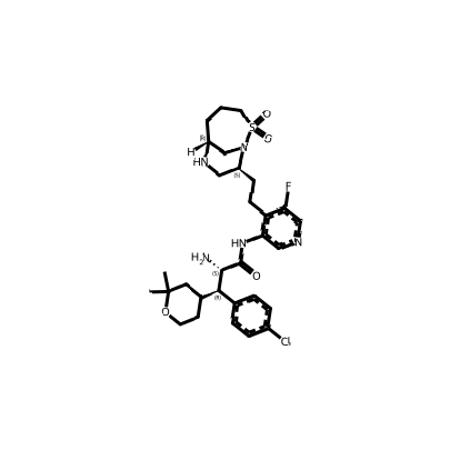 CC1(C)CC([C@H](c2ccc(Cl)cc2)[C@H](N)C(=O)Nc2cncc(F)c2CC[C@H]2CN[C@@H]3CCCS(=O)(=O)N2C3)CCO1